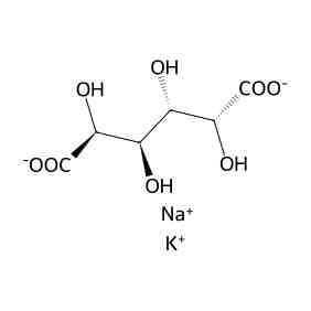 O=C([O-])[C@@H](O)[C@H](O)[C@H](O)[C@@H](O)C(=O)[O-].[K+].[Na+]